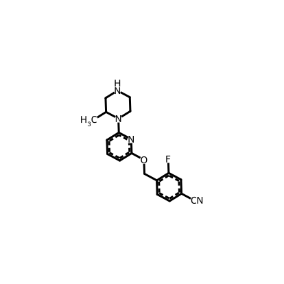 CC1CNCCN1c1cccc(OCc2ccc(C#N)cc2F)n1